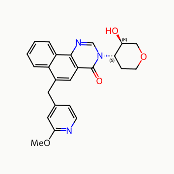 COc1cc(Cc2cc3c(=O)n([C@H]4CCOC[C@@H]4O)cnc3c3ccccc23)ccn1